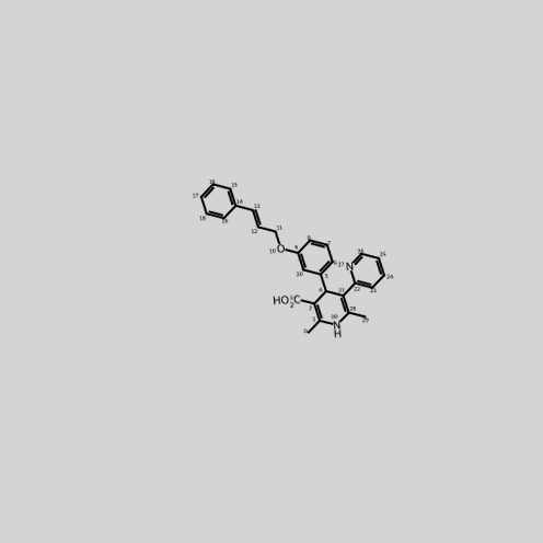 CC1=C(C(=O)O)C(c2cccc(OCC=Cc3ccccc3)c2)C(c2ccccn2)=C(C)N1